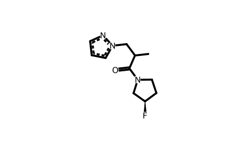 CC(Cn1cccn1)C(=O)N1CC[C@@H](F)C1